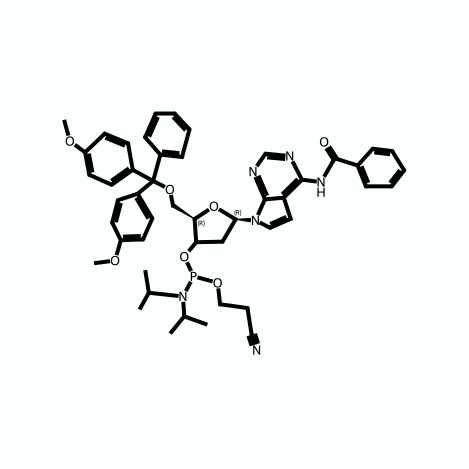 COc1ccc(C(OC[C@H]2O[C@@H](n3ccc4c(NC(=O)c5ccccc5)ncnc43)CC2OP(OCCC#N)N(C(C)C)C(C)C)(c2ccccc2)c2ccc(OC)cc2)cc1